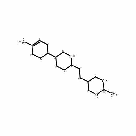 CC1=CCC(C2CCC(CCC3COC(C)OC3)OC2)CC1